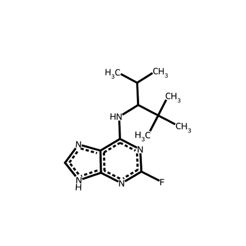 CC(C)C(Nc1nc(F)nc2[nH]cnc12)C(C)(C)C